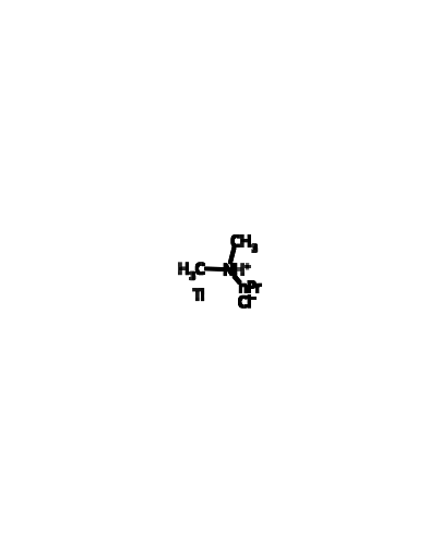 CCC[NH+](C)C.[Cl-].[Ti]